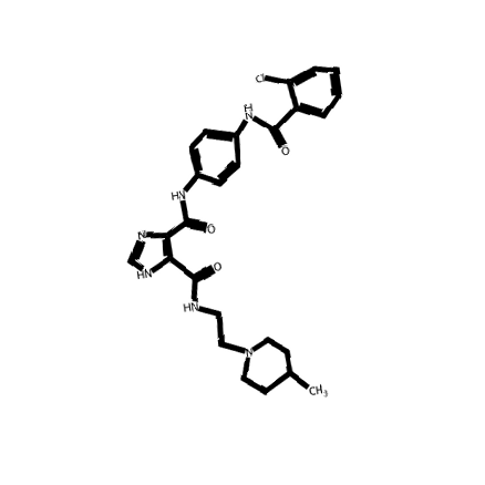 CC1CCN(CCNC(=O)c2[nH]cnc2C(=O)Nc2ccc(NC(=O)c3ccccc3Cl)cc2)CC1